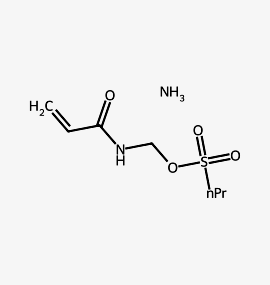 C=CC(=O)NCOS(=O)(=O)CCC.N